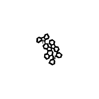 c1ccc(N(c2ccccc2)c2cc3c(c4ccccc24)-c2ccc(-n4c5ccccc5c5ccccc54)cc2C32c3ccccc3-c3ccccc32)cc1